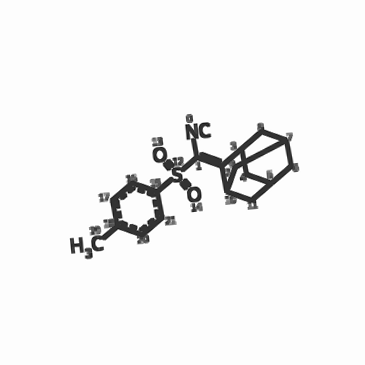 [C-]#[N+]C(=C1C2CC3CC(C2)CC1C3)S(=O)(=O)c1ccc(C)cc1